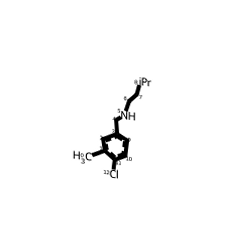 Cc1cc(CNCCC(C)C)ccc1Cl